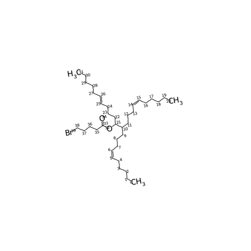 CCCCC/C=C\CCCC(CCC/C=C\CCCCC)C(CCC/C=C/CCCCC)OC(=O)CCCCBr